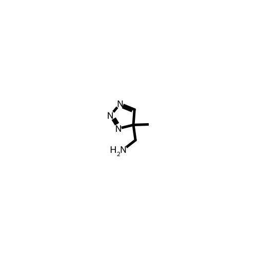 CC1(CN)C=NN=N1